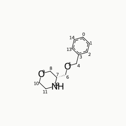 c1ccc(COC[C@H]2COCCN2)cc1